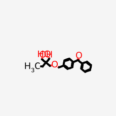 CCC(CO)(CO)COCc1ccc(C(=O)c2ccccc2)cc1